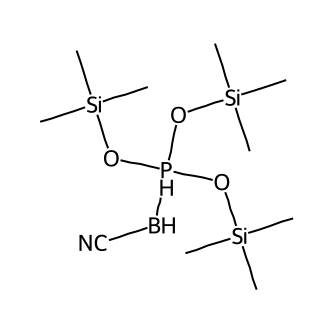 C[Si](C)(C)O[PH](BC#N)(O[Si](C)(C)C)O[Si](C)(C)C